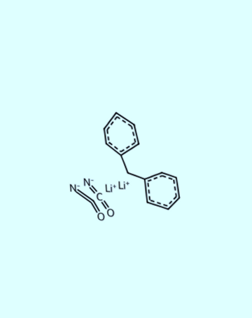 [Li+].[Li+].[N-]=C=O.[N-]=C=O.c1ccc(Cc2ccccc2)cc1